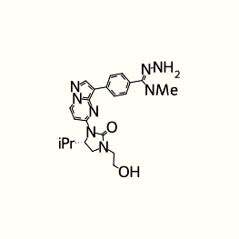 CN/C(=N\N)c1ccc(-c2cnn3ccc(N4C(=O)N(CCO)C[C@@H]4C(C)C)nc23)cc1